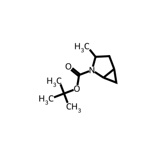 CC1CC2CC2N1C(=O)OC(C)(C)C